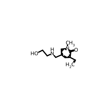 C=Cc1cc(CNCCO)cn(C)c1=O